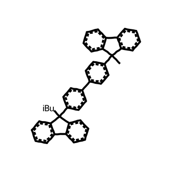 CCC(C)C1(c2ccc(-c3ccc(C4(C)c5ccccc5-c5ccccc54)cc3)cc2)c2ccccc2-c2ccccc21